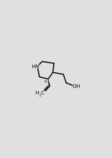 C=C[C@H]1CNCCC1CCO